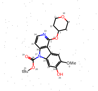 COc1cc2c3c(OC4CCOCC4)nccc3n(C(=O)OC(C)(C)C)c2cc1O